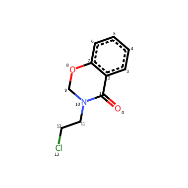 O=C1c2ccccc2OCN1CCCl